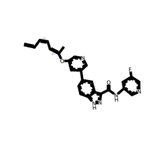 C=C/C=C\C=C(/C)Oc1cncc(-c2ccc3[nH]nc(C(=O)Nc4cncc(F)c4)c3c2)c1